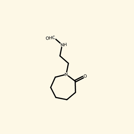 O=CNCCN1CCCCCC1=O